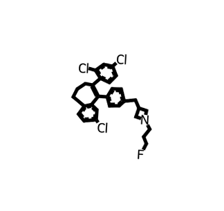 FCCCN1CC(Cc2ccc(C3=C(c4ccc(Cl)cc4Cl)CCCc4ccc(Cl)cc43)cc2)C1